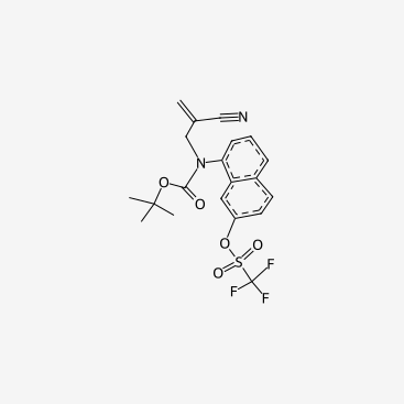 C=C(C#N)CN(C(=O)OC(C)(C)C)c1cccc2ccc(OS(=O)(=O)C(F)(F)F)cc12